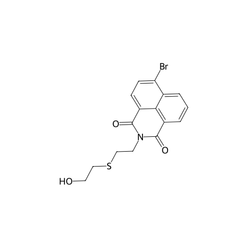 O=C1c2cccc3c(Br)ccc(c23)C(=O)N1CCSCCO